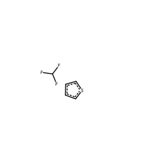 FC(F)F.c1ccsc1